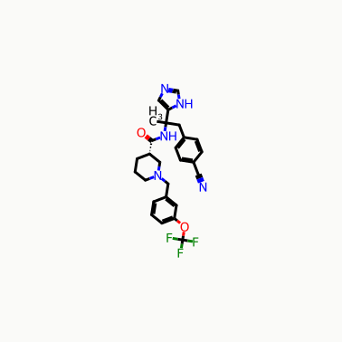 CC(Cc1ccc(C#N)cc1)(NC(=O)[C@H]1CCCN(Cc2cccc(OC(F)(F)F)c2)C1)c1cnc[nH]1